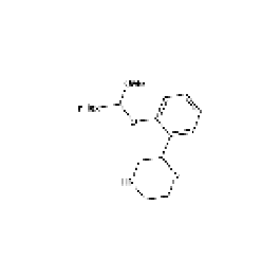 CCCCCCC(OC)Oc1ccccc1C1CNCC[N]1